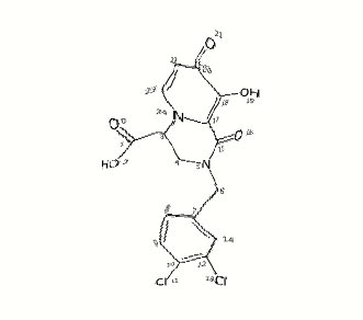 O=C(O)C1CN(Cc2ccc(Cl)c(Cl)c2)C(=O)c2c(O)c(=O)ccn21